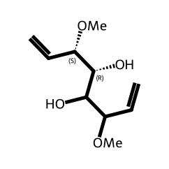 C=CC(OC)C(O)[C@@H](O)[C@H](C=C)OC